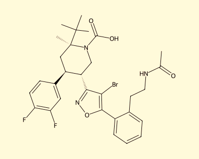 CC(=O)NCCc1ccccc1-c1onc([C@H]2CN(C(=O)O)[C@](C)(C(C)(C)C)C[C@@H]2c2ccc(F)c(F)c2)c1Br